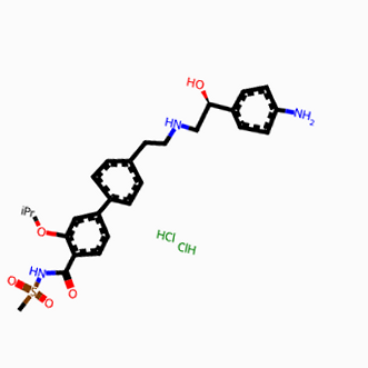 CC(C)Oc1cc(-c2ccc(CCNC[C@@H](O)c3ccc(N)cc3)cc2)ccc1C(=O)NS(C)(=O)=O.Cl.Cl